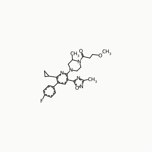 COCCC(=O)N1CCN(c2nc(C3CC3)c(-c3ccc(F)cc3)cc2-c2nc(C)no2)CC1C